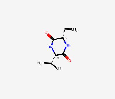 CC[C@@H]1NC(=O)[C@H](C(C)C)NC1=O